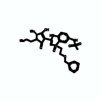 CC(C)(C)CCN1C(=O)C(C2=NP(=O)(CCOCc3ccccc3)c3cc(NS(C)(=O)=O)ccc3N2)=C(O)[C@@H]1C(C)(C)C